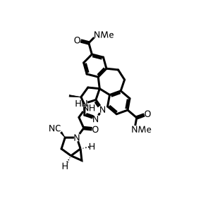 CNC(=O)c1ccc2c(c1)CCc1cc(C(=O)NC)ccc1C2(C[C@H](C)NCC(=O)N1[C@H](C#N)C[C@@H]2C[C@@H]21)c1nnc[nH]1